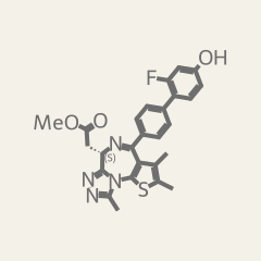 COC(=O)C[C@@H]1N=C(c2ccc(-c3ccc(O)cc3F)cc2)c2c(sc(C)c2C)-n2c(C)nnc21